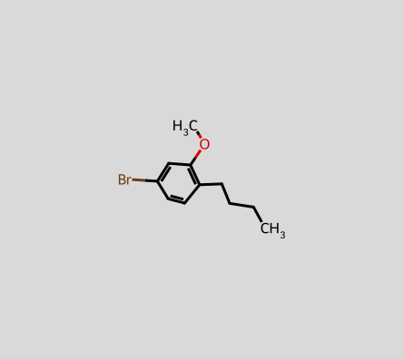 CCCCc1ccc(Br)cc1OC